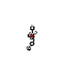 O=C1C2=CC(Cc3ccc(-n4cccn4)cc3)N=C3C=CSC23NN1c1ccncc1